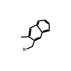 BrCc1cc2ccccc2cc1I